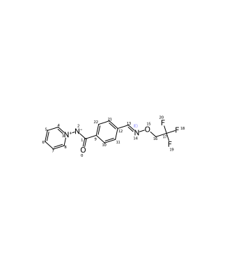 O=C([N-][n+]1ccccc1)c1ccc(/C=N/OCC(F)(F)F)cc1